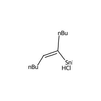 CCCCC=[C]([Sn])CCCC.Cl